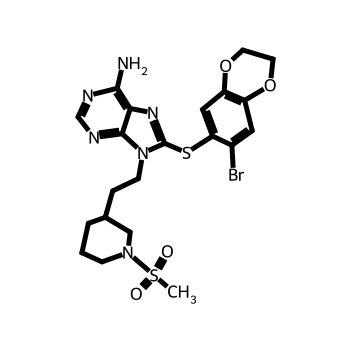 CS(=O)(=O)N1CCCC(CCn2c(Sc3cc4c(cc3Br)OCCO4)nc3c(N)ncnc32)C1